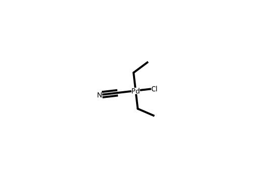 C[CH2][Pd]([Cl])([C]#N)[CH2]C